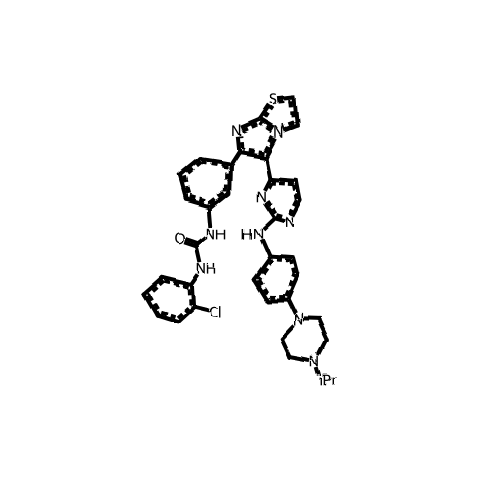 CC(C)N1CCN(c2ccc(Nc3nccc(-c4c(-c5cccc(NC(=O)Nc6ccccc6Cl)c5)nc5sccn45)n3)cc2)CC1